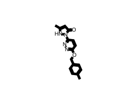 Cc1ccc(COc2ccc(-n3[nH]c(C)cc3=O)nn2)cc1